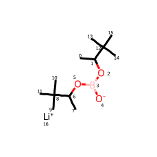 CC(OB([O-])OC(C)C(C)(C)C)C(C)(C)C.[Li+]